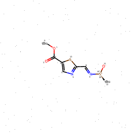 CC(C)(C)OC(=O)c1cnc(C=N[S@@+]([O-])C(C)(C)C)s1